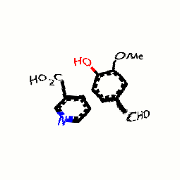 COc1cc(C=O)ccc1O.O=C(O)c1cccnc1